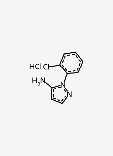 Cl.Nc1ccnn1-c1ccccc1Cl